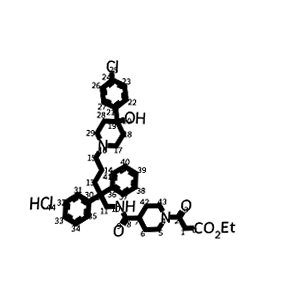 CCOC(=O)CC(=O)N1CCC(C(=O)NCC(CCCN2CCC(O)(c3ccc(Cl)cc3)CC2)(c2ccccc2)c2ccccc2)CC1.Cl